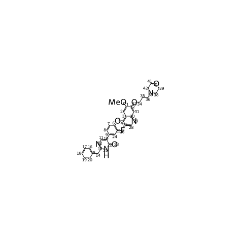 COc1cc2c(Oc3ccc(-c4cnc(Cc5ccccc5)[nH]c4=O)cc3F)ccnc2cc1OCCCN1CCOCC1